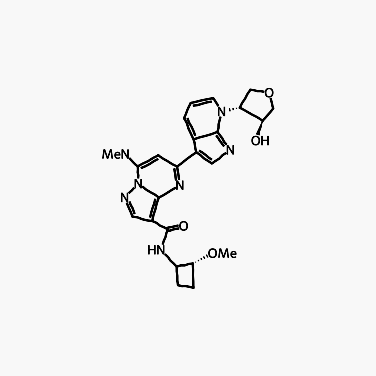 CNc1cc(-c2cnc3n([C@@H]4COC[C@H]4O)cccc2-3)nc2c(C(=O)NC3CC[C@H]3OC)cnn12